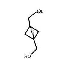 CC(C)(C)CC12CC(CO)(C1)C2